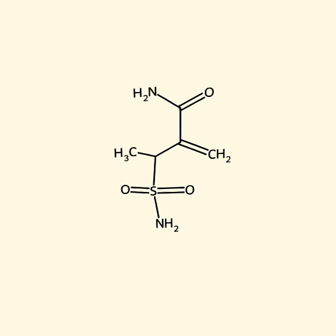 C=C(C(N)=O)C(C)S(N)(=O)=O